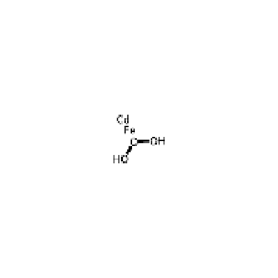 OOO.[Cd].[Fe]